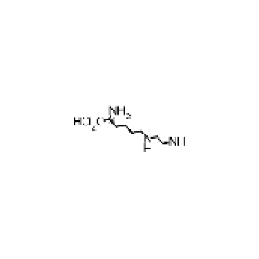 N=CCNCCCC[C@H](N)C(=O)O